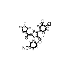 C[C@H](Oc1ccc(C#N)cn1)[C@H]1CN(C(=O)[C@H]2CCNC2)C[C@@H]1c1ccc(Cl)c(Cl)c1